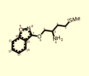 CSCCC(N)COc1noc2ccccc12